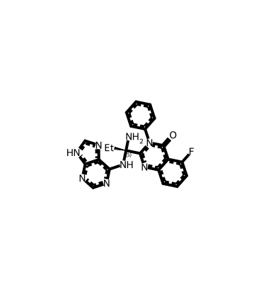 CC[C@](N)(Nc1ncnc2[nH]cnc12)c1nc2cccc(F)c2c(=O)n1-c1ccccc1